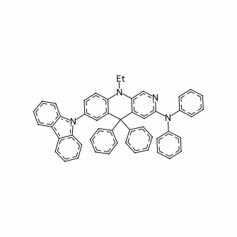 CCN1c2ccc(-n3c4ccccc4c4ccccc43)cc2C(c2ccccc2)(c2ccccc2)c2cc(N(c3ccccc3)c3ccccc3)ncc21